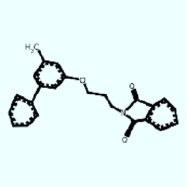 Cc1cc(OCCCN2C(=O)c3ccccc3C2=O)cc(-c2ccccc2)c1